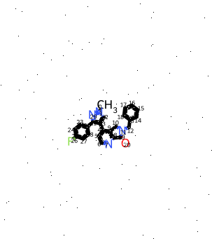 Cn1cc(-c2ccnc3c2CN(Cc2ccccc2)C3=O)c(-c2ccc(F)cc2)n1